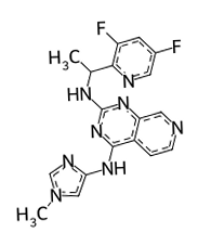 CC(Nc1nc(Nc2cn(C)cn2)c2ccncc2n1)c1ncc(F)cc1F